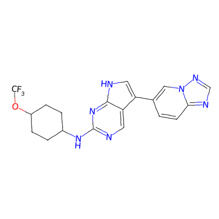 FC(F)(F)OC1CCC(Nc2ncc3c(-c4ccc5ncnn5c4)c[nH]c3n2)CC1